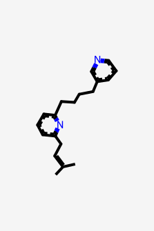 CC(C)=CCc1cccc(CCCCc2cccnc2)n1